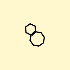 C1CCCC2=C(CC1)CCCC2